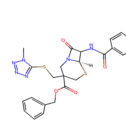 Cn1nnnc1SCC1(C(=O)OCc2ccccc2)CS[C@@H]2C(NC(=O)c3ccccc3)C(=O)N2C1